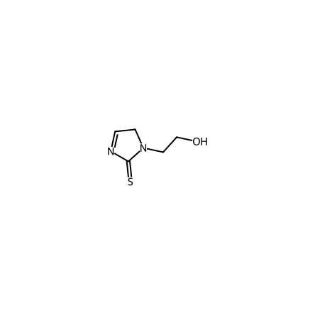 OCCN1CC=NC1=S